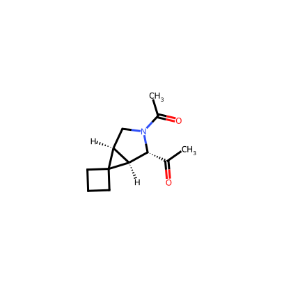 CC(=O)[C@@H]1[C@@H]2[C@H](CN1C(C)=O)C21CCC1